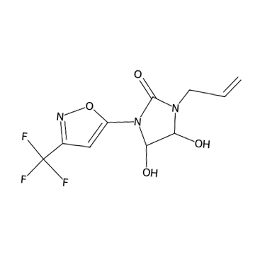 C=CCN1C(=O)N(c2cc(C(F)(F)F)no2)C(O)C1O